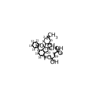 CN1CCC(C2(O)c3c(-c4ccccc4)ccc(F)c3CC2(C)C)CC1.O=C(O)C=CC(=O)O